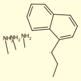 CC[CH]c1cccc2ccccc12.CN.CN.CN